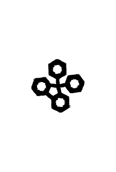 [c]1ccc2c(c1)C(c1ccccc1)(c1ccccc1)c1c[c]ccc1-2